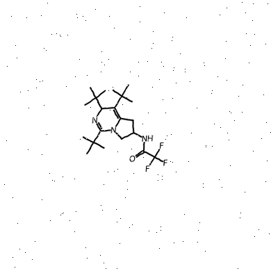 CC(C)(C)C1=NC(C(C)(C)C)C(C(C)(C)C)=C2CC(NC(=O)C(F)(F)F)CN12